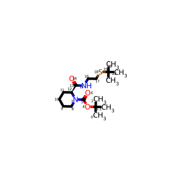 CC(C)(C)OC(=O)N1CCCC[C@H]1C(=O)NCCSC(C)(C)C